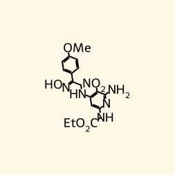 CCOC(=O)Nc1cc(NCC(=NO)c2ccc(OC)cc2)c([N+](=O)[O-])c(N)n1